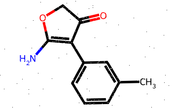 Cc1cccc(C2=C(N)OCC2=O)c1